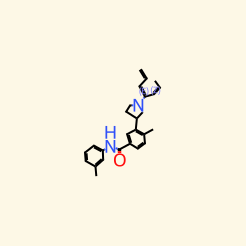 C=C/C=C(\C=C/C)N1CCC(c2cc(C(=O)Nc3cccc(C)c3)ccc2C)C1